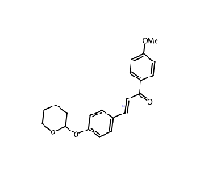 COc1ccc(C(=O)/C=C/c2ccc(OC3CCCCO3)cc2)cc1